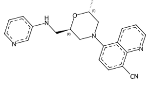 C[C@@H]1CN(c2ccc(C#N)c3ncccc23)C[C@@H](CNc2cccnc2)O1